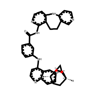 O=C(Nc1nccc2c1CCc1cnccc1N2)c1cccc(Nc2ccnc3ccc([C@@]45C[C@@H]4[C@@H]4CC[C@H]5CO4)cc23)c1